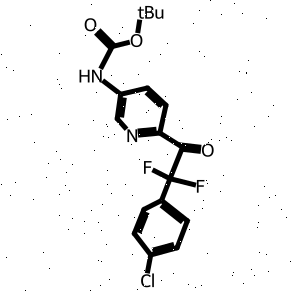 CC(C)(C)OC(=O)Nc1ccc(C(=O)C(F)(F)c2ccc(Cl)cc2)nc1